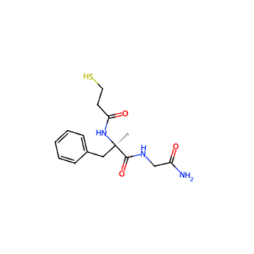 C[C@](Cc1ccccc1)(NC(=O)CCS)C(=O)NCC(N)=O